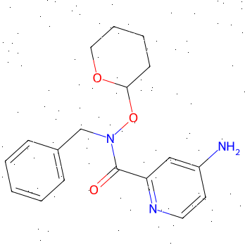 Nc1ccnc(C(=O)N(Cc2ccccc2)OC2CCCCO2)c1